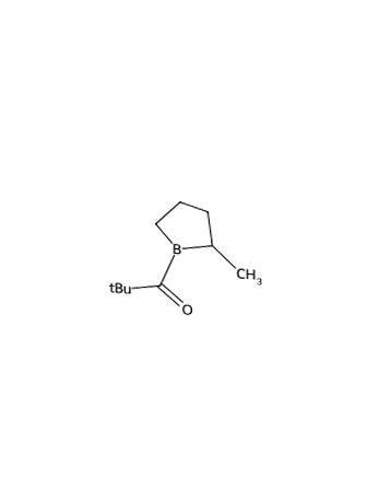 CC1CCCB1C(=O)C(C)(C)C